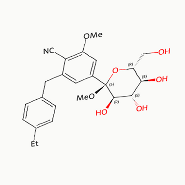 CCc1ccc(Cc2cc([C@]3(OC)O[C@H](CO)[C@@H](O)[C@H](O)[C@H]3O)cc(OC)c2C#N)cc1